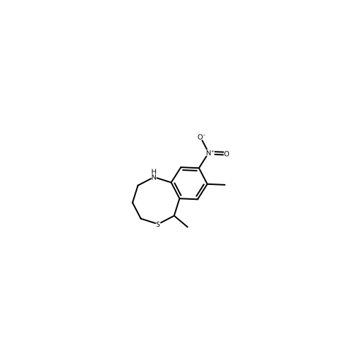 Cc1cc2c(cc1[N+](=O)[O-])NCCCSC2C